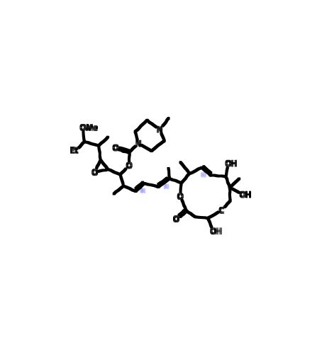 CCC(OC)C(C)C1OC1C(OC(=O)N1CCN(C)CC1)C(C)/C=C/C=C(\C)C1OC(=O)CC(O)CCC(C)(O)C(O)/C=C/C1C